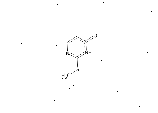 [CH2]Sc1nccc(=O)[nH]1